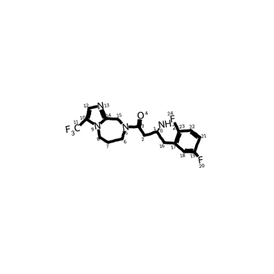 N[C@@H](CC(=O)N1CCCn2c(C(F)(F)F)cnc2C1)Cc1cc(F)ccc1F